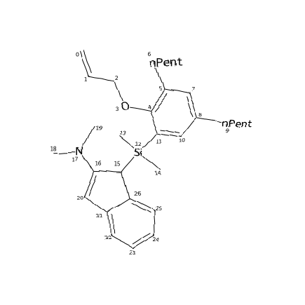 C=CCOc1c(CCCCC)cc(CCCCC)cc1[Si](C)(C)C1C(N(C)C)=Cc2ccccc21